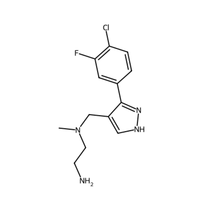 CN(CCN)Cc1c[nH]nc1-c1ccc(Cl)c(F)c1